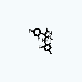 Cc1cc(F)c(Nc2c(-c3ccc(F)cc3F)c(C)nn2C)c(F)c1